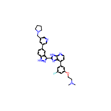 CN(C)CCOc1cc(F)cc(-c2ccnc3[nH]c(-c4n[nH]c5ccc(-c6cncc(CN7CCCC7)c6)cc45)nc23)c1